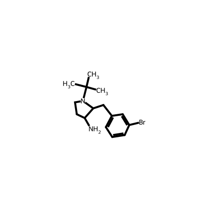 CC(C)(C)N1CCC(N)C1Cc1cccc(Br)c1